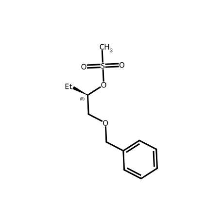 CC[C@H](COCc1ccccc1)OS(C)(=O)=O